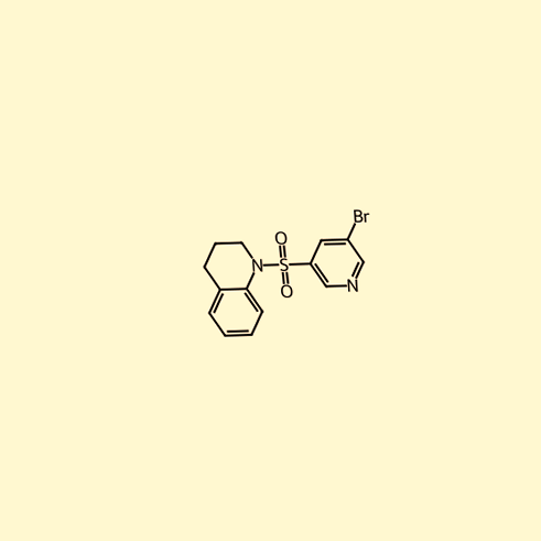 O=S(=O)(c1cncc(Br)c1)N1CCCc2ccccc21